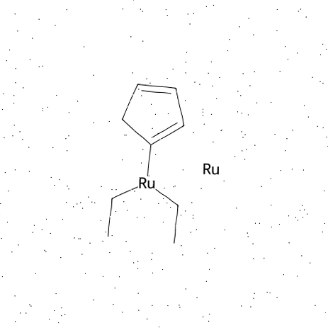 C[CH2][Ru]([CH2]C)[C]1=CC=CC1.[Ru]